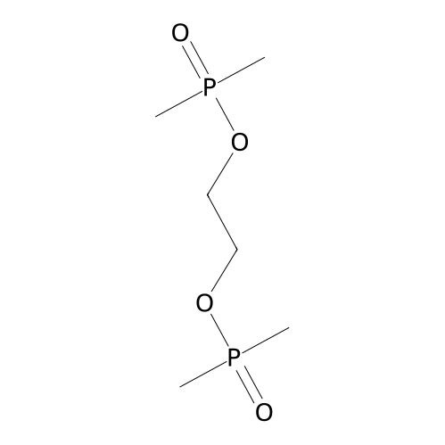 CP(C)(=O)OCCOP(C)(C)=O